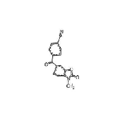 Cn1c(=O)oc2cc(C(=O)c3ccc(C#N)cc3)ccc21